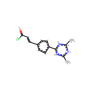 O=C(Cl)C=Cc1ccc(-c2nc(C(Cl)(Cl)Cl)nc(C(Cl)(Cl)Cl)n2)cc1